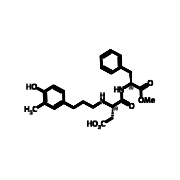 COC(=O)[C@H](Cc1ccccc1)NC(=O)[C@H](CC(=O)O)NCCCc1ccc(O)c(C)c1